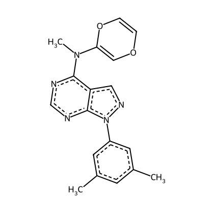 Cc1cc(C)cc(-n2ncc3c(N(C)C4=COC=CO4)ncnc32)c1